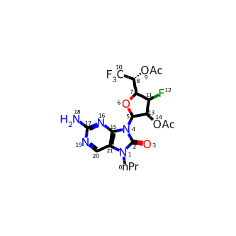 CCCn1c(=O)n(C2OC([C@@H](OC(C)=O)C(F)(F)F)C(F)C2OC(C)=O)c2nc(N)ncc21